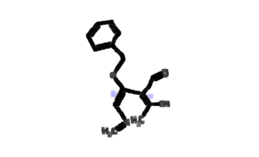 C=N/C=C(OCc1ccccc1)\C(C=O)=C(/C)O